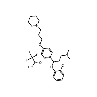 CN(C)CCC(Oc1ccccc1Cl)c1ccc(OCCCN2CCCCC2)cc1.O=C(O)C(F)(F)F